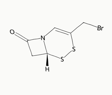 O=C1C[C@H]2SSC(CBr)=CN12